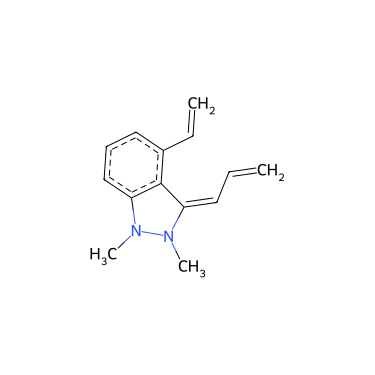 C=C/C=C1\c2c(C=C)cccc2N(C)N1C